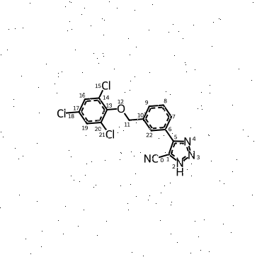 N#Cc1[nH]nnc1-c1cccc(COc2c(Cl)cc(Cl)cc2Cl)c1